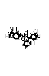 Nc1n[nH]c2ccc(NC(=O)NC(c3ccc(Cl)c(Cl)c3)[C@@H]3CCCCN3)cc12